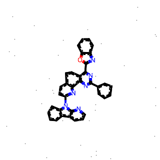 c1ccc(-c2nc(-c3nc4ccccc4o3)c3ccc4ccc(-n5c6ccccc6c6cccnc65)nc4c3n2)cc1